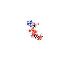 CC(=O)OC[C@@H](OC(C)=O)C1O[C@@H](OP(=O)(O)OP(=O)(O)OC[C@H]2O[C@@H](n3cnc4c(N)ncnc43)C(O)[C@@H]2F)C(OC(C)=O)[C@@H](C)[C@@H]1C